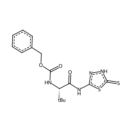 CC(C)(C)[C@H](NC(=O)OCc1ccccc1)C(=O)Nc1n[nH]c(=S)s1